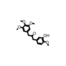 COc1ccc(CC(=O)Cc2cc(OC)c(OC)c(OC)c2)cc1O